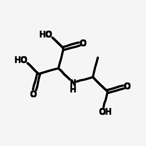 CC(NC(C(=O)O)C(=O)O)C(=O)O